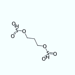 O=[SH](=O)OCCCO[SH](=O)=O